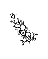 C1COC1.C=C(C)[C@@H]1CC[C@]2(C(=O)O)CC[C@]3(C)[C@H](CC[C@@H]4[C@@]5(C)CC[C@H](O)C(C)(C)[C@@H]5CC[C@]43C)[C@@H]12